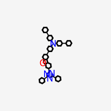 c1ccc(-c2ccc(N(c3ccc(-c4ccccc4)cc3)c3ccc(-c4ccc5oc6cc(-c7nc(-c8ccccc8)nc(-c8ccccc8)n7)ccc6c5c4)cc3)cc2)cc1